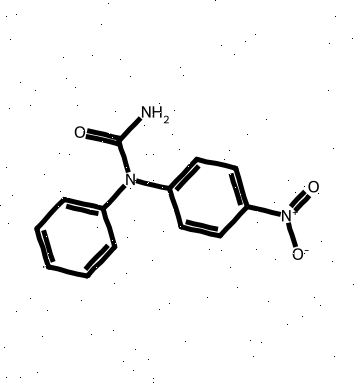 NC(=O)N(c1cc[c]cc1)c1ccc([N+](=O)[O-])cc1